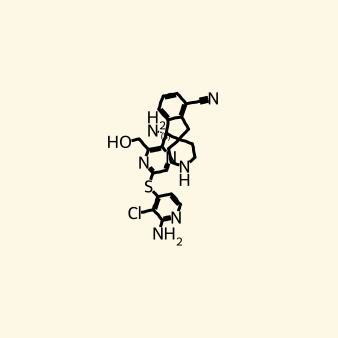 N#Cc1cccc2c1CC1(CCNCC1)[C@@]2(N)c1ncc(Sc2ccnc(N)c2Cl)nc1CO